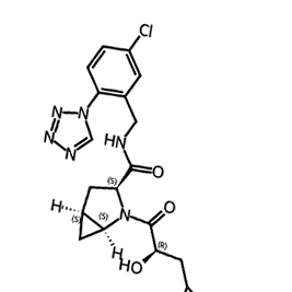 O=C(NCc1cc(Cl)ccc1-n1cnnn1)[C@@H]1C[C@@H]2C[C@@H]2N1C(=O)[C@H](O)CC1CC1